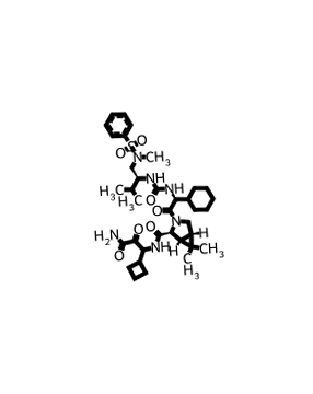 CC(C)[C@@H](CN(C)S(=O)(=O)c1ccccc1)NC(=O)N[C@H](C(=O)N1C[C@H]2[C@@H]([C@H]1C(=O)NC(C(=O)C(N)=O)C1CCC1)C2(C)C)C1CCCCC1